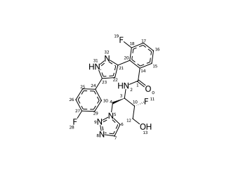 O=C(N[C@H](Cn1ccnn1)[C@H](F)CO)c1cccc(F)c1-c1cc(-c2ccc(F)cc2)[nH]n1